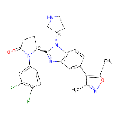 Cc1noc(C)c1-c1ccc2c(c1)nc([C@@H]1CCC(=O)N1c1ccc(F)c(F)c1)n2[C@H]1CCNC1